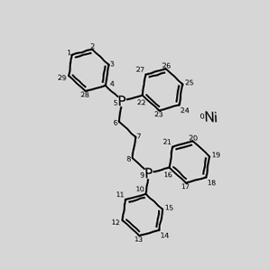 [Ni].c1ccc(P(CCCP(c2ccccc2)c2ccccc2)c2ccccc2)cc1